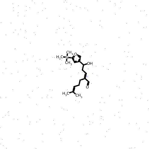 CC(C)=CCC/C(C=O)=C\CC(O)c1coc([Si](C)(C)C)c1